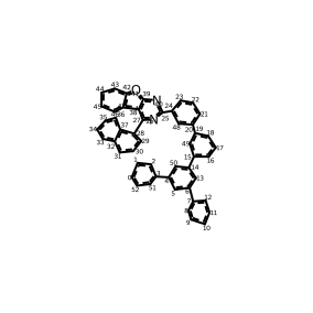 c1ccc(-c2cc(-c3ccccc3)cc(-c3cccc(-c4cccc(-c5nc(-c6cccc7ccccc67)c6c(n5)oc5ccccc56)c4)c3)c2)cc1